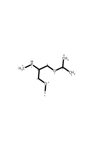 CPC(COI)COC(C)C